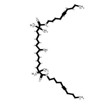 CCCCC#CCCCCOC(=O)C(C)(C)CCCCCC(O)CCCCCC(C)(C)C(=O)OCCCCC#CCCCC